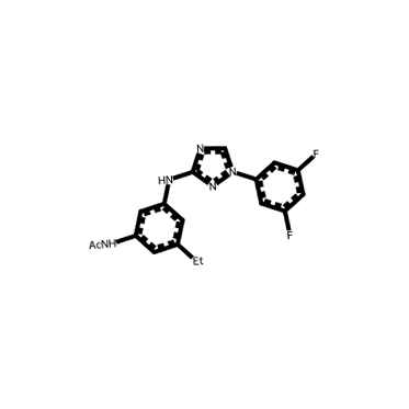 CCc1cc(NC(C)=O)cc(Nc2ncn(-c3cc(F)cc(F)c3)n2)c1